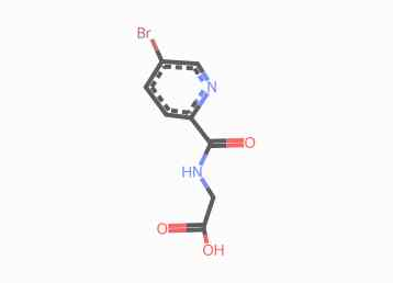 O=C(O)CNC(=O)c1ccc(Br)cn1